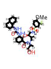 COc1ccc(S(=O)(=O)N(C)CC2Oc3c(NC(=O)Nc4cccc5ccccc45)cccc3C(=O)N(C(C)CO)CC2C)cc1F